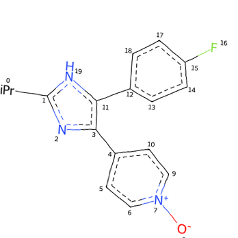 CC(C)c1nc(-c2cc[n+]([O-])cc2)c(-c2ccc(F)cc2)[nH]1